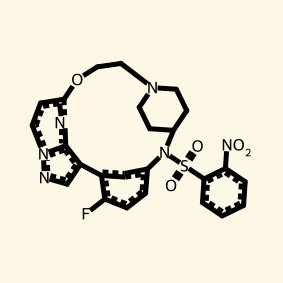 O=[N+]([O-])c1ccccc1S(=O)(=O)N1c2ccc(F)c(c2)-c2cnn3ccc(nc23)OCCN2CCC1CC2